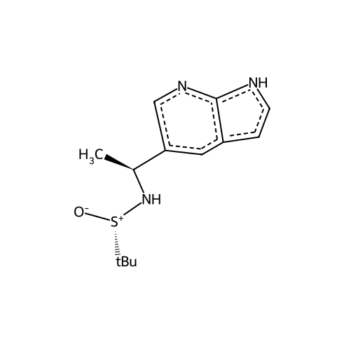 C[C@H](N[S@@+]([O-])C(C)(C)C)c1cnc2[nH]ccc2c1